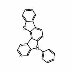 [c]1ccc2c3c4sc5ccccc5c4ccc3n(-c3ccccc3)c2c1